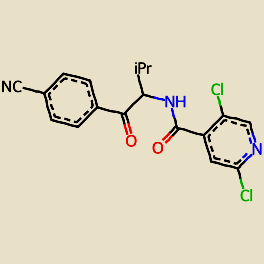 CC(C)C(NC(=O)c1cc(Cl)ncc1Cl)C(=O)c1ccc(C#N)cc1